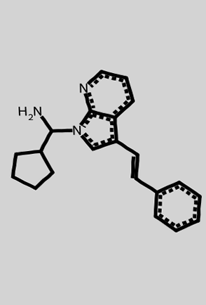 NC(C1CCCC1)n1cc(/C=C/c2ccccc2)c2cccnc21